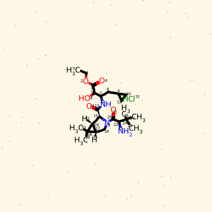 CCOC(=O)C(O)C(CC1CC1)NC(=O)[C@@H]1[C@@H]2[C@H](CN1C(=O)C(N)C(C)(C)C)C2(C)C.Cl